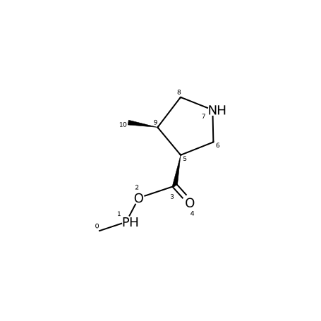 CPOC(=O)[C@@H]1CNC[C@@H]1C